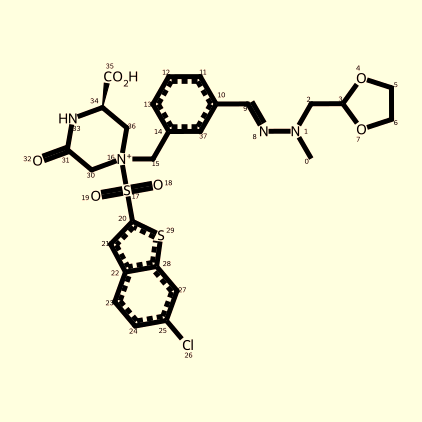 CN(CC1OCCO1)N=Cc1cccc(C[N+]2(S(=O)(=O)c3cc4ccc(Cl)cc4s3)CC(=O)N[C@@H](C(=O)O)C2)c1